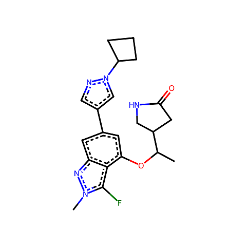 CC(Oc1cc(-c2cnn(C3CCC3)c2)cc2nn(C)c(F)c12)C1CNC(=O)C1